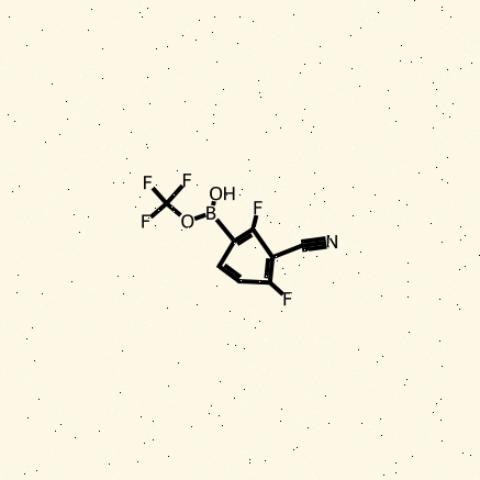 N#Cc1c(F)ccc(B(O)OC(F)(F)F)c1F